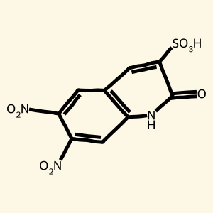 O=c1[nH]c2cc([N+](=O)[O-])c([N+](=O)[O-])cc2cc1S(=O)(=O)O